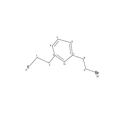 FCCc1cccc(CCBr)c1